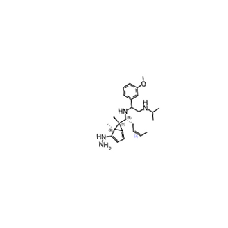 C/C=C\C[C@@H](NC(CNC(C)C)c1cccc(OC)c1)[C@]1(C)C2=CC=C(NN)[C@]21C